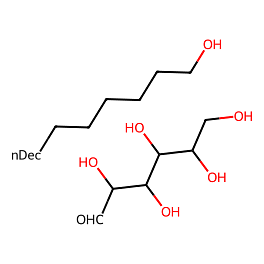 CCCCCCCCCCCCCCCCO.O=CC(O)C(O)C(O)C(O)CO